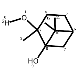 [2H]OC1(C)CCC2CC1(O)C2(C)C